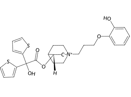 O=C(O[C@H]1C[N+]2(CCCOc3ccccc3O)CCC1CC2)C(O)(c1cccs1)c1cccs1